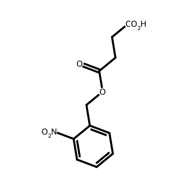 O=C(O)CCC(=O)OCc1ccccc1[N+](=O)[O-]